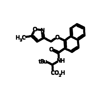 Cc1cc(COc2c(C(=O)NC(C(=O)O)C(C)(C)C)ccc3ccccc23)no1